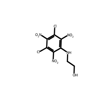 O=[N+]([O-])c1c(Cl)c([N+](=O)[O-])c(NCCO)c([N+](=O)[O-])c1Cl